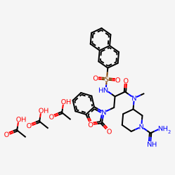 CC(=O)O.CC(=O)O.CC(=O)O.CN(C(=O)C(Cn1c(=O)oc2ccccc21)NS(=O)(=O)c1ccc2ccccc2c1)C1CCCN(C(=N)N)C1